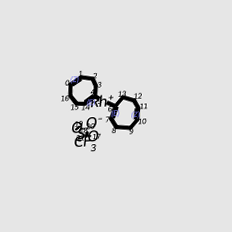 C1=C\CC/[C]([Rh+]/[C]2=C/CC/C=C\CC2)=C\CC/1.O=S(=O)([O-])C(F)(F)F